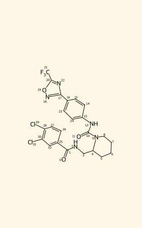 O=C(NCC1CCCCN1C(=O)Nc1ccc(-c2noc(C(F)(F)F)n2)cc1)c1ccc(Cl)c(Cl)c1